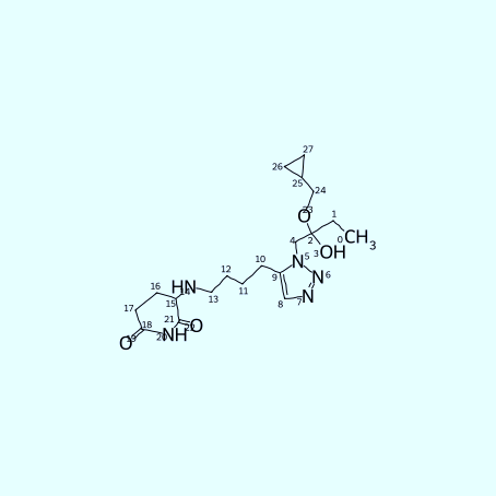 CCC(O)(Cn1nncc1CCCCNC1CCC(=O)NC1=O)OCC1CC1